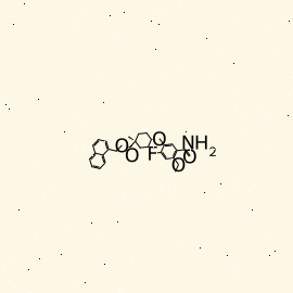 COc1cc(F)c(O[C@H]2CC[C@@](C)(C(=O)OCc3cccc4ccccc34)CC2)cc1C(N)=O